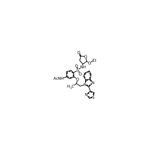 CCOC1OC(=O)CC1NS(=O)(=O)c1ccc(NC(C)=O)cc1OC(C)Cn1c(-c2cscn2)nc2ccccc21